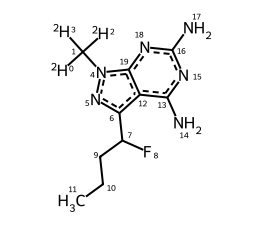 [2H]C([2H])([2H])n1nc(C(F)CCC)c2c(N)nc(N)nc21